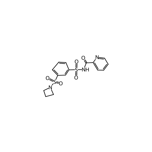 O=C(NS(=O)(=O)c1cccc(S(=O)(=O)N2CCC2)c1)c1ccccn1